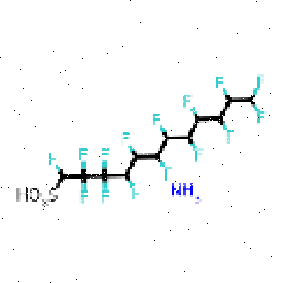 N.O=S(=O)(O)C(F)C(F)(F)C(F)(F)C(F)C(F)C(F)C(F)C(F)C(F)C(F)C(F)C(F)F